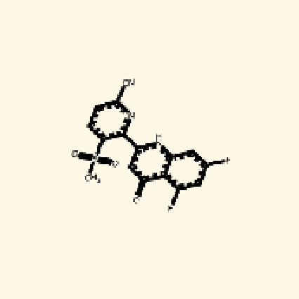 CS(=O)(=O)c1ccc(C#N)nc1-c1cc(=O)c2c(F)cc(F)cc2[nH]1